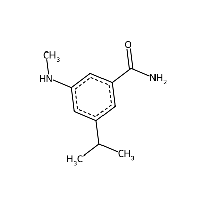 CNc1cc(C(N)=O)cc(C(C)C)c1